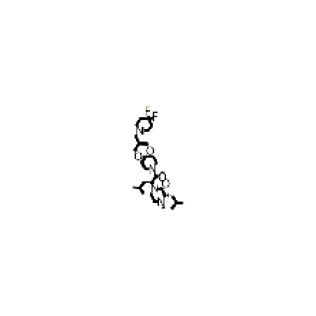 CC(C)C[C@H]1C(=O)N([C@@H](CC(C)C)C(=O)N2CCC3(CC2)OCC(CN2CCC(F)(F)CC2)CO3)CCN1C